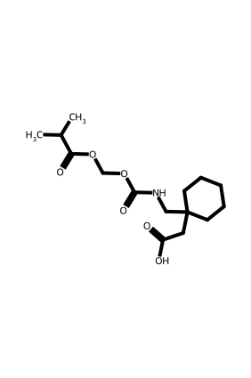 CC(C)C(=O)OCOC(=O)NCC1(CC(=O)O)CCCCC1